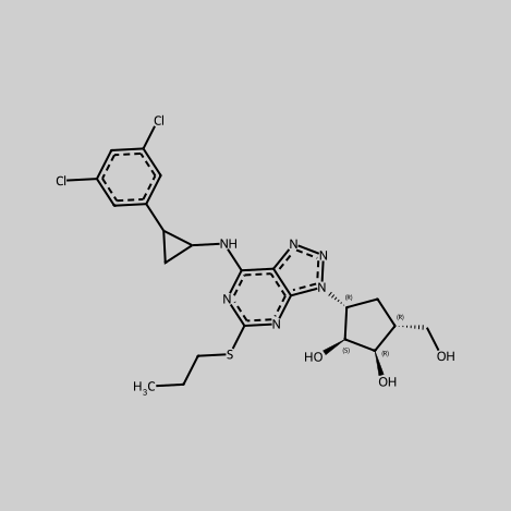 CCCSc1nc(NC2CC2c2cc(Cl)cc(Cl)c2)c2nnn([C@@H]3C[C@H](CO)[C@@H](O)[C@H]3O)c2n1